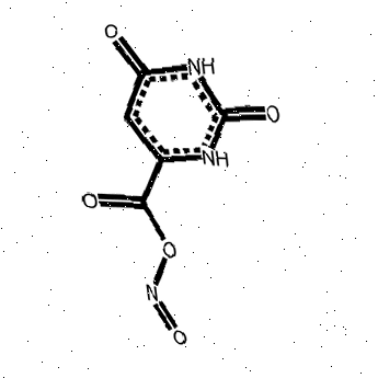 O=NOC(=O)c1cc(=O)[nH]c(=O)[nH]1